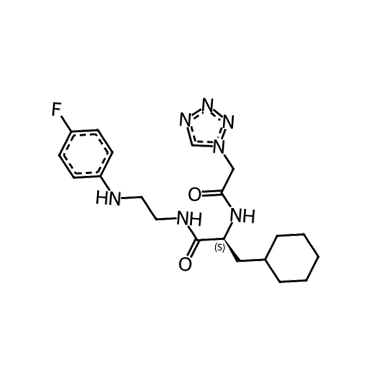 O=C(Cn1cnnn1)N[C@@H](CC1CCCCC1)C(=O)NCCNc1ccc(F)cc1